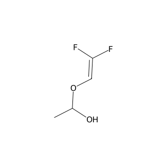 CC(O)OC=C(F)F